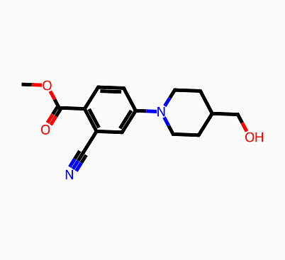 COC(=O)c1ccc(N2CCC(CO)CC2)cc1C#N